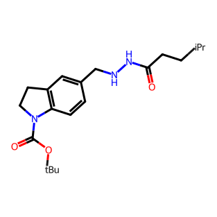 CC(C)CCC(=O)NNCc1ccc2c(c1)CCN2C(=O)OC(C)(C)C